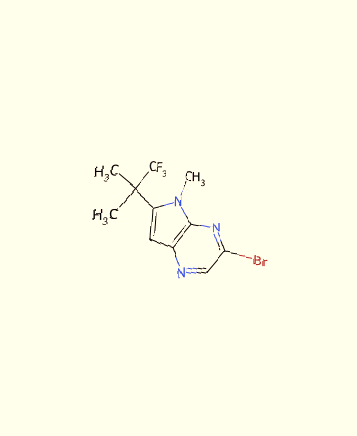 Cn1c(C(C)(C)C(F)(F)F)cc2ncc(Br)nc21